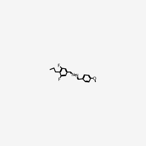 CCCc1c(F)cc(C=NN=Cc2ccc(OC)cc2)cc1F